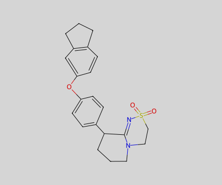 O=S1(=O)CCN2CCCC(c3ccc(Oc4ccc5c(c4)CCC5)cc3)C2=N1